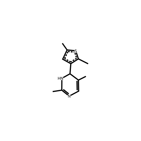 CC1=CN=C(C)NC1c1cc(C)sc1C